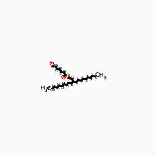 CCCCCCCCCCC(CCCCCCCCCC)CCOC(=O)CCCCCC=O